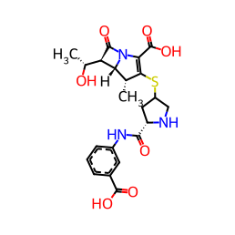 C[C@@H](O)[C@H]1C(=O)N2C(C(=O)O)=C(SC3CN[C@H](C(=O)Nc4cccc(C(=O)O)c4)C3)[C@H](C)[C@H]12